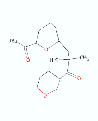 CC(C)(C)C(=O)C1CCCC(CC(C)(C)C(=O)C2CCCOC2)O1